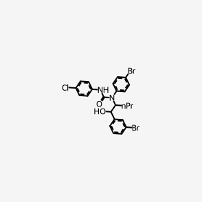 CCCC(C(O)c1cccc(Br)c1)N(C(=O)Nc1ccc(Cl)cc1)c1ccc(Br)cc1